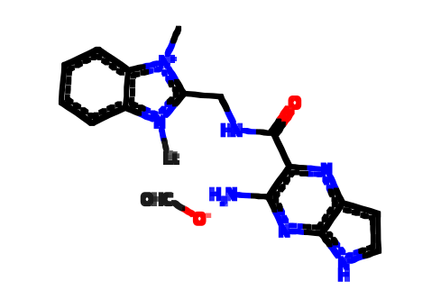 CCn1c(CNC(=O)c2nc3cc[nH]c3nc2N)[n+](C)c2ccccc21.O=C[O-]